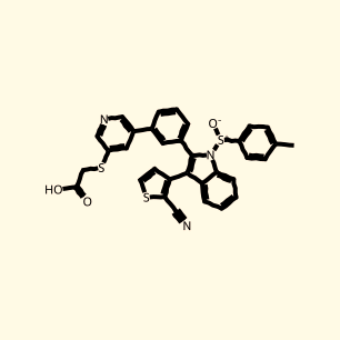 Cc1ccc([S+]([O-])n2c(-c3cccc(-c4cncc(SCC(=O)O)c4)c3)c(-c3ccsc3C#N)c3ccccc32)cc1